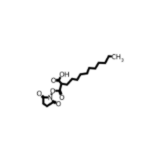 CCCCCCCCCCCC(C(=O)O)C(=O)ON1C(=O)CCC1=O